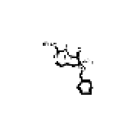 C=CCC[C@@](OCc1ccccc1)(C(=O)NNC(=O)OC(C)(C)C)C(F)(F)F